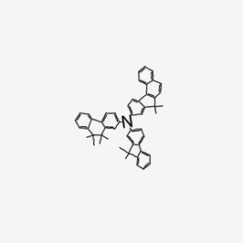 CC1(C)c2ccccc2-c2ccc(N(c3ccc4c(c3)C(C)(C)c3ccc5ccccc5c3-4)c3ccc4c(c3)C(C)(C)C(C)(C)c3ccccc3-4)cc21